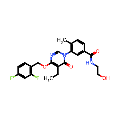 CCc1c(OCc2ccc(F)cc2F)ncn(-c2cc(C(=O)NCCO)ccc2C)c1=O